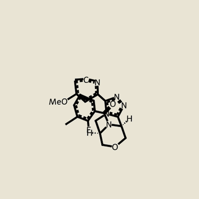 COc1ccnc(-c2nnc3n2C[C@@H]2COC[C@H]3N2C(=O)c2cccc(C)c2F)c1